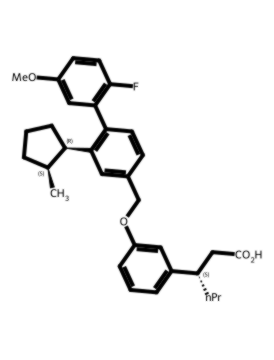 CCC[C@@H](CC(=O)O)c1cccc(OCc2ccc(-c3cc(OC)ccc3F)c([C@@H]3CCC[C@@H]3C)c2)c1